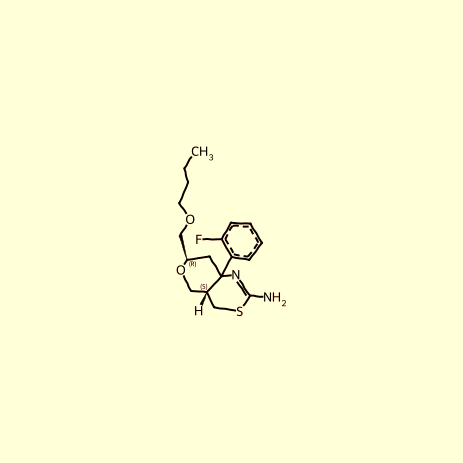 CCCCOC[C@H]1CC2(c3ccccc3F)N=C(N)SC[C@@H]2CO1